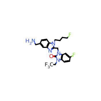 NCc1ccc2c(c1)nc(Cn1c(=O)n(CC(F)(F)F)c3ccc(F)cc31)n2CCCCF